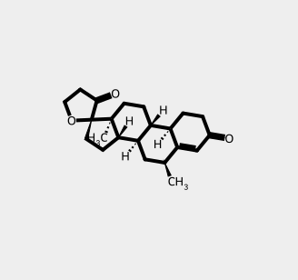 C[C@H]1C[C@@H]2[C@H](CC[C@@]3(C)[C@H]2CC[C@]32OCCC2=O)[C@H]2CCC(=O)C=C12